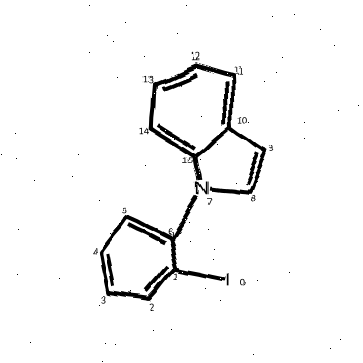 Ic1ccccc1-n1ccc2ccccc21